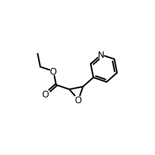 CCOC(=O)C1OC1c1cccnc1